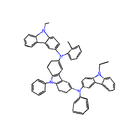 CCn1c2ccccc2c2cc(N(C3=Cc4c(n(-c5ccccc5)c5ccc(N(c6ccccc6)c6ccc7c(c6)c6ccccc6n7CC)cc45)CC3)c3ccccc3C)ccc21